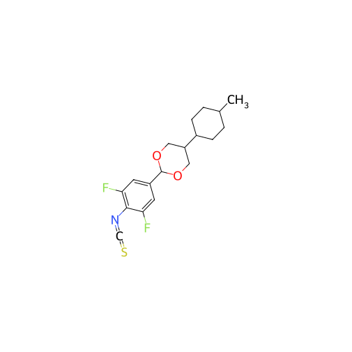 CC1CCC(C2COC(c3cc(F)c(N=C=S)c(F)c3)OC2)CC1